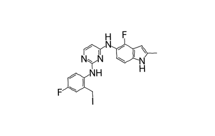 Cc1cc2c(F)c(Nc3ccnc(Nc4ccc(F)cc4CI)n3)ccc2[nH]1